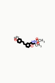 CCCOc1ccc(CCc2ccc3oc(C(C)NS(C)(=O)=O)cc3c2)cc1